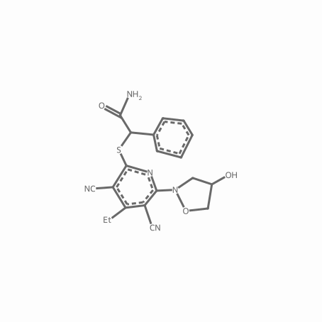 CCc1c(C#N)c(SC(C(N)=O)c2ccccc2)nc(N2CC(O)CO2)c1C#N